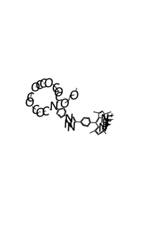 COCCOc1cc(-n2cc(-c3ccc(C4=C5C(C)=CC(C)=[N+]5[B-](F)(F)n5c(C)cc(C)c54)cc3)nn2)ccc1N1CCOCCOCCOCCOCCOCC1